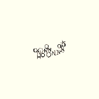 Cn1c(=O)n(C2CCC(=O)NC2=O)c2cccc(N3CCN(C4CCN4C(=O)OC(C)(C)C)CC3)c21